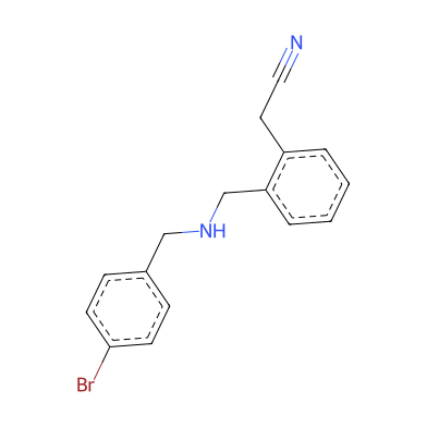 N#CCc1ccccc1CNCc1ccc(Br)cc1